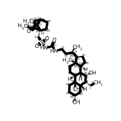 CC[C@H]1[C@@H](O)[C@@H]2[C@H](CC[C@]3(C)[C@@H]([C@H](C)CCNC(=O)NS(=O)(=O)C[C@]45CCC(CC4=O)C5(C)CC)CC[C@@H]23)[C@@]2(C)CC[C@@H](O)C[C@@H]12